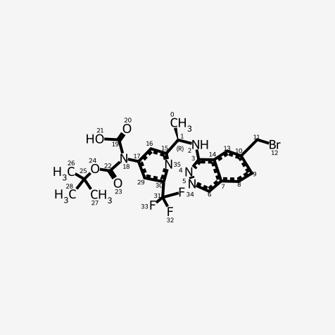 C[C@@H](Nc1nncc2ccc(CBr)cc12)c1cc(N(C(=O)O)C(=O)OC(C)(C)C)cc(C(F)(F)F)n1